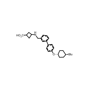 CC(C)(C)[C@H]1CC[C@H](Oc2ccc(-c3cccc(CNC4CC(C(=O)O)C4)c3)cc2)CC1